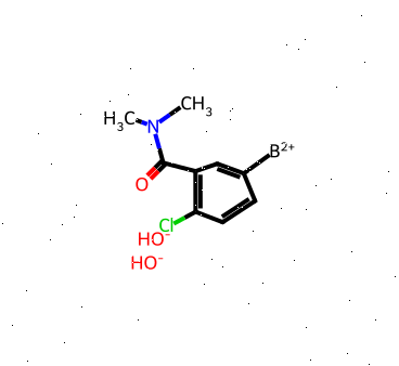 [B+2]c1ccc(Cl)c(C(=O)N(C)C)c1.[OH-].[OH-]